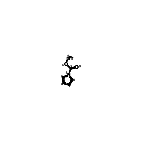 CCCOC(=O)n1cccc1